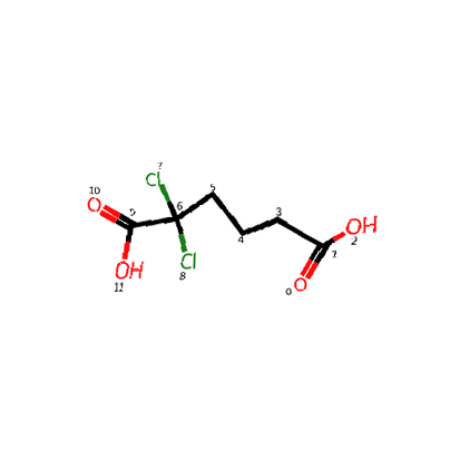 O=C(O)CCCC(Cl)(Cl)C(=O)O